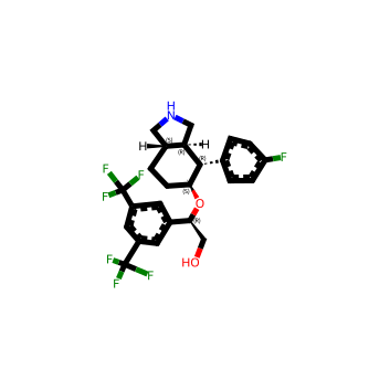 OC[C@H](O[C@H]1CC[C@@H]2CNC[C@H]2[C@@H]1c1ccc(F)cc1)c1cc(C(F)(F)F)cc(C(F)(F)F)c1